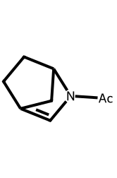 CC(=O)N1C=C2CCC1C2